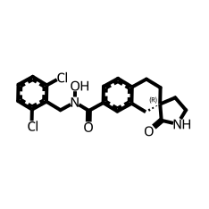 O=C(c1ccc2c(c1)C[C@@]1(CCNC1=O)CC2)N(O)Cc1c(Cl)cccc1Cl